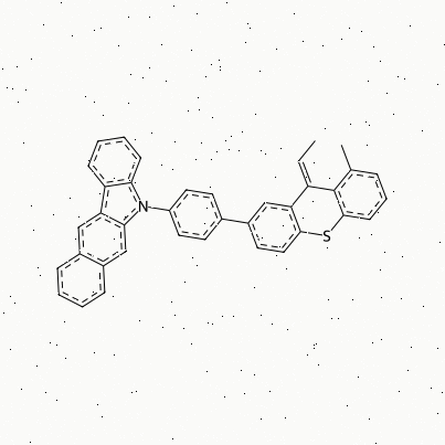 C/C=C1/c2cc(-c3ccc(-n4c5ccccc5c5cc6ccccc6cc54)cc3)ccc2Sc2cccc(C)c21